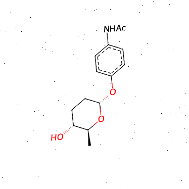 CC(=O)Nc1ccc(O[C@H]2CC[C@@H](O)[C@H](C)O2)cc1